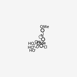 COc1ccc(CN2CCCc3cc(Cc4cc([C@]5(OC)O[C@H](CO)[C@@H](O)[C@H](O)[C@H]5O)ccc4Cl)ccc32)cc1